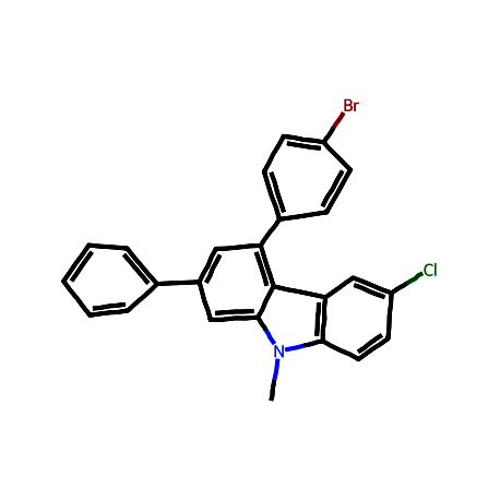 Cn1c2ccc(Cl)cc2c2c(-c3ccc(Br)cc3)cc(-c3ccccc3)cc21